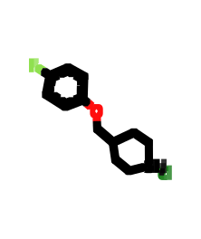 Fc1ccc(OCC2CC[SiH](Cl)CC2)cc1